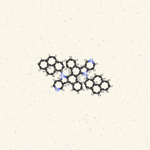 c1cc2ccc3ccc(-n4c5ccncc5c5c6ccccc6c6c(c7ccccc7c7c8cnccc8n(-c8ccc9ccc%10cccc%11ccc8c9c%10%11)c76)c54)c4ccc(c1)c2c34